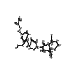 CCCc1cc(OCC(=O)O)ccc1C1(C)CCN(c2nc3c(c(=O)[nH]2)CCCN3C)CC1